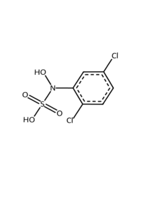 O=S(=O)(O)N(O)c1cc(Cl)ccc1Cl